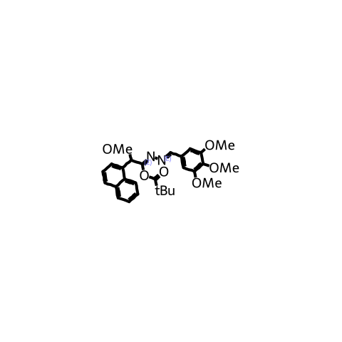 COc1cc(/C=N/N=C(\OC(=O)C(C)(C)C)C(OC)c2cccc3ccccc23)cc(OC)c1OC